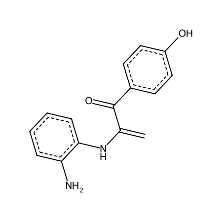 C=C(Nc1ccccc1N)C(=O)c1ccc(O)cc1